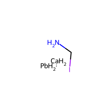 NCI.[CaH2].[PbH2]